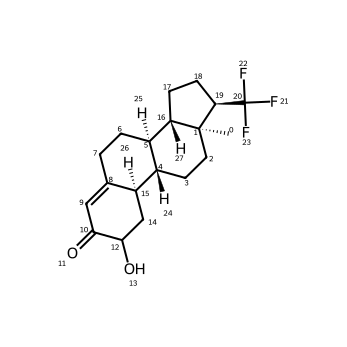 C[C@]12CC[C@H]3[C@@H](CCC4=CC(=O)C(O)C[C@@H]43)[C@@H]1CC[C@H]2C(F)(F)F